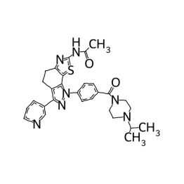 CC(=O)Nc1nc2c(s1)-c1c(c(-c3cccnc3)nn1-c1ccc(C(=O)N3CCN(C(C)C)CC3)cc1)CC2